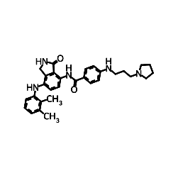 Cc1cccc(Nc2ccc(NC(=O)c3ccc(NCCCN4CCCC4)cc3)c3c2CNC3=O)c1C